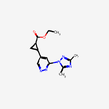 CCOC(=O)C1CC1c1cnnc(-n2nc(C)nc2C)c1